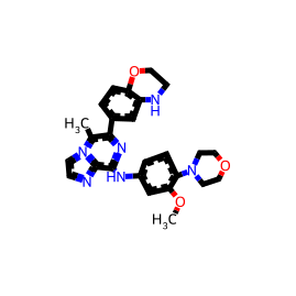 COc1cc(Nc2nc(-c3ccc4c(c3)NCCO4)c(C)n3ccnc23)ccc1N1CCOCC1